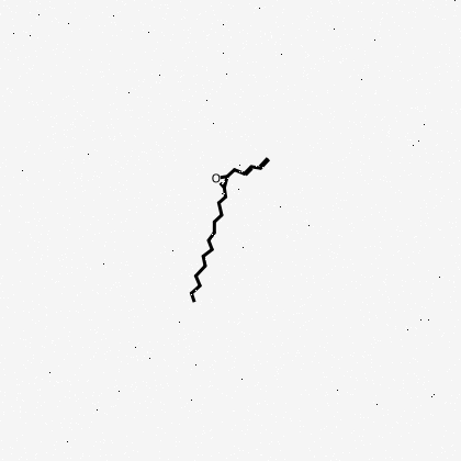 C=CC=CCC1OC1CCCCCCCCCCCCC